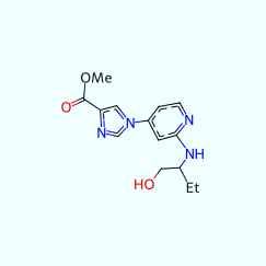 CCC(CO)Nc1cc(-n2cnc(C(=O)OC)c2)ccn1